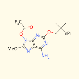 CCCC(C)(C)COc1nc(N)c2nc(OC)n(OC(=O)C(F)(F)F)c2n1